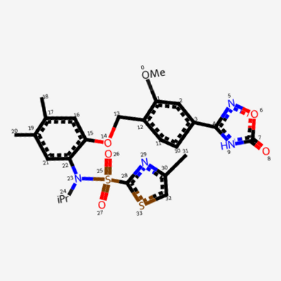 COc1cc(-c2noc(=O)[nH]2)ccc1COc1cc(C)c(C)cc1N(C(C)C)S(=O)(=O)c1nc(C)cs1